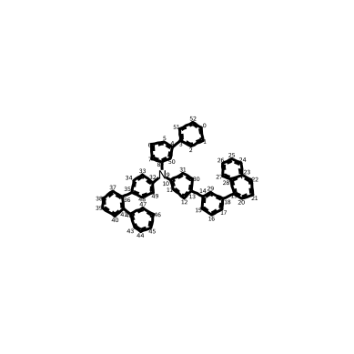 c1ccc(-c2cccc(N(c3ccc(-c4cccc(-c5cccc6ccccc56)c4)cc3)c3ccc(-c4ccccc4-c4ccccc4)cc3)c2)cc1